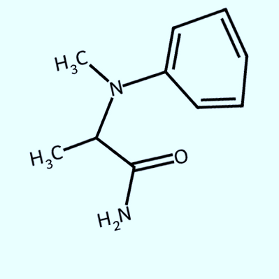 CC(C(N)=O)N(C)c1ccccc1